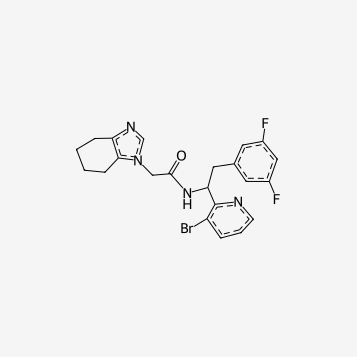 O=C(Cn1cnc2c1CCCC2)NC(Cc1cc(F)cc(F)c1)c1ncccc1Br